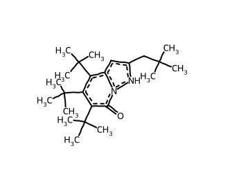 CC(C)(C)Cc1cc2c(C(C)(C)C)c(C(C)(C)C)c(C(C)(C)C)c(=O)n2[nH]1